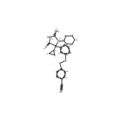 N#Cc1ccc(COc2cccc(C3(C4CC4)C(=O)NC(=N)N3C3CCCCC3)c2)cc1